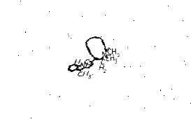 C=C1/C=C\C=C/CC/C=C\C(C(C)/C=C\c2[nH]c3ccccc3c2C)=C/C(=C)N1C